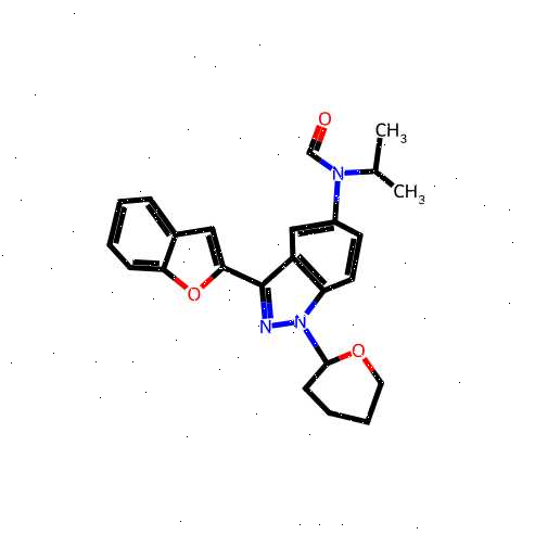 CC(C)N(C=O)c1ccc2c(c1)c(-c1cc3ccccc3o1)nn2C1CCCCO1